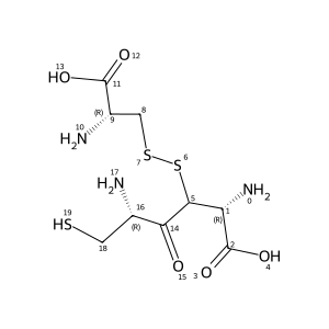 N[C@H](C(=O)O)C(SSC[C@H](N)C(=O)O)C(=O)[C@@H](N)CS